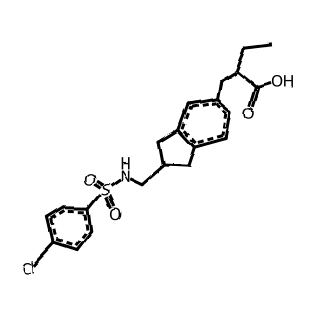 CCC(Cc1ccc2c(c1)CC(CNS(=O)(=O)c1ccc(Cl)cc1)C2)C(=O)O